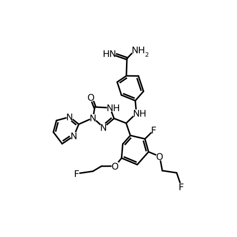 N=C(N)c1ccc(NC(c2nn(-c3ncccn3)c(=O)[nH]2)c2cc(OCCF)cc(OCCF)c2F)cc1